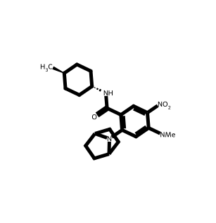 CNc1cc(N2C3CCC2CC3)c(C(=O)N[C@H]2CC[C@H](C)CC2)cc1[N+](=O)[O-]